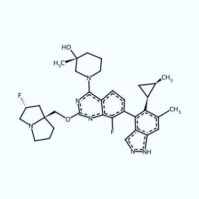 Cc1cc2[nH]ncc2c(-c2ccc3c(N4CCC[C@@](C)(O)C4)nc(OC[C@@]45CCCN4C[C@H](F)C5)nc3c2F)c1[C@H]1C[C@H]1C